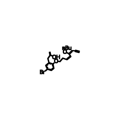 C#C/C=C(\C=C/CCOc1ccc(Br)cc1CC(=C)O)OCCCC